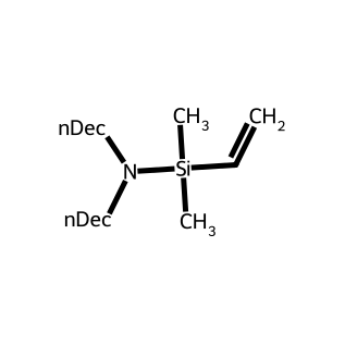 C=C[Si](C)(C)N(CCCCCCCCCC)CCCCCCCCCC